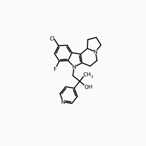 CC(O)(Cn1c2c(c3cc(Cl)cc(F)c31)C1CCCN1CC2)c1ccncc1